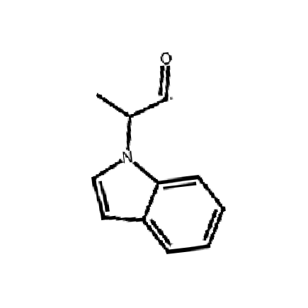 CC([C]=O)n1ccc2ccccc21